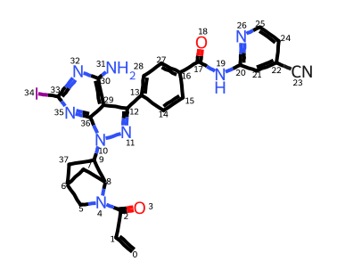 C=CC(=O)N1CC2CC1C(n1nc(-c3ccc(C(=O)Nc4cc(C#N)ccn4)cc3)c3c(N)nc(I)nc31)C2